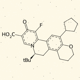 CC(C)(C)[C@@H]1Cc2c(cc(C3CCCC3)c3c2CCCO3)-c2c(F)c(=O)c(C(=O)O)cn21